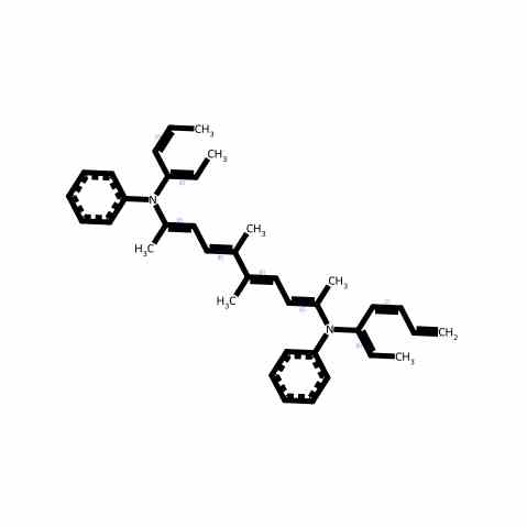 C=C/C=C\C(=C/C)N(/C(C)=C/C=C(C)/C(C)=C/C=C(\C)N(C(/C=C\C)=C/C)c1ccccc1)c1ccccc1